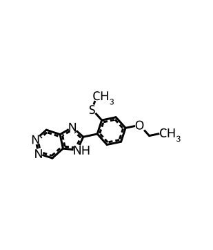 CCOc1ccc(-c2nc3cnncc3[nH]2)c(SC)c1